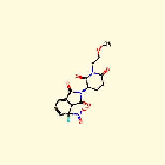 COCCN1C(=O)CCC(N2C(=O)C3=CC=CC(F)([N+](=O)[O-])C3C2=O)C1=O